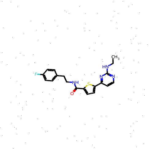 CCNc1nccc(-c2ccc(C(=O)NCCc3ccc(F)cc3)s2)n1